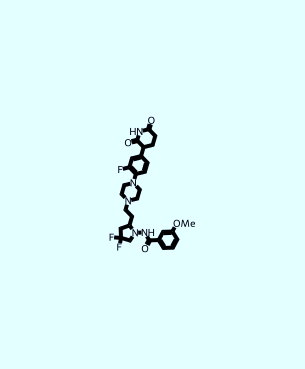 COc1cccc(C(=O)NN2CC(F)(F)CC2CCN2CCN(c3ccc(C4CCC(=O)NC4=O)cc3F)CC2)c1